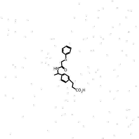 CC(NC(=O)CSc1ccccc1)c1ccc(CCC(=O)O)cc1